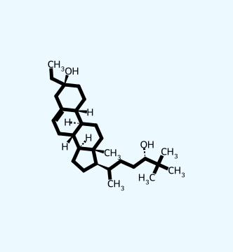 CC[C@]1(O)CC[C@H]2C(=CC[C@@H]3[C@@H]2CC[C@]2(C)[C@@H](C(C)CC[C@H](O)C(C)(C)C)CC[C@@H]32)C1